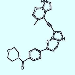 Cc1cnc2[nH]ccc2c1C#Cc1cnc2ccc(-c3ccc(C(=O)N4CCOCC4)cc3)nn12